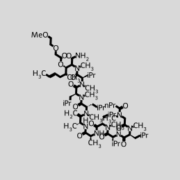 C=C([C@@H](C)NC(=O)[C@H](C)NC(=O)[C@H](CC(C)C)N(C)C(=O)[C@@H](NC(=O)[C@H](CC(C)C)N(C)C(=O)CN(C)C(=O)CCC)C(C)C)N(C)[C@@H](CC(C)C)C(=O)N(C)[C@@H](CC(C)C)C(=O)N(C)[C@@H](C(=O)N(C)C(C(N)=O)[C@H](OC(=O)COCCOC)C(C)C/C=C/C)C(C)C